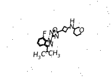 CC(C)c1nn(-c2noc(C3CC(NC4CCCOC4)C3)n2)c2c(F)cccc12